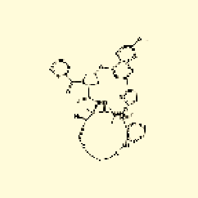 COc1ccc2c(O[C@@H]3C[C@@H](C(=O)N[C@]45C[C@H]4/C=C\CCCCCNc4ccccc4S(=O)(=O)NC5=O)N(C(=O)c4ccccn4)C3)cc(-c3csc(NC(C)C)n3)nc2c1